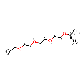 [CH2]COCCOCCOCCOC(=C)C